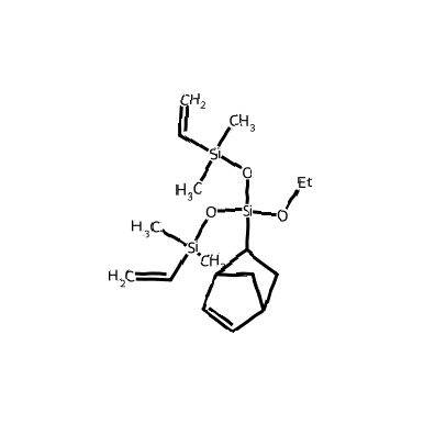 C=C[Si](C)(C)O[Si](OCC)(O[Si](C)(C)C=C)C1CC2C=CC1C2